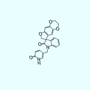 O=C1N(Cc2ccc(=O)[nH]c2)c2ccccc2C12COc1cc3c(cc12)OCCO3